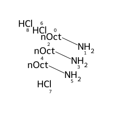 CCCCCCCCN.CCCCCCCCN.CCCCCCCCN.Cl.Cl.Cl